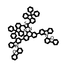 c1ccc(C2(c3ccccc3)c3ccccc3-c3c(-c4sc(-c5cccc6c5-c5ccccc5C6(c5ccccc5)c5ccccc5)c5nc6c7cc(-c8ccc9c%10ccccc%10n(-c%10cccc%11c%10oc%10ccccc%10%11)c9c8)ccc7c7ccc(-c8ccc9c%10ccccc%10n(-c%10cccc%11c%10oc%10ccccc%10%11)c9c8)cc7c6nc45)cccc32)cc1